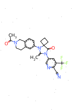 C=C1N(c2cnc(C#N)c(C(F)(F)F)c2)C(=O)C2(CCC2)N1c1ccc2c(c1)CCN(C(C)=O)C2